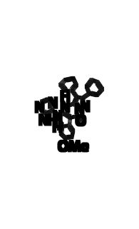 COc1ccc(-c2c(Nc3nccnc3N)[nH]c3c(-c4ccccc4)c(-c4ccccc4)nn3c2=O)cc1